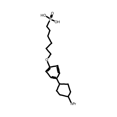 CCCC1CCC(c2ccc(OCCCCCCP(=O)(O)O)cc2)CC1